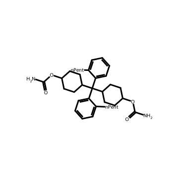 CCCCCc1ccccc1C(c1ccccc1CCCCC)(C1CCC(OC(N)=O)CC1)C1CCC(OC(N)=O)CC1